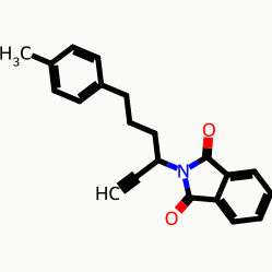 C#CC(CCCc1ccc(C)cc1)N1C(=O)c2ccccc2C1=O